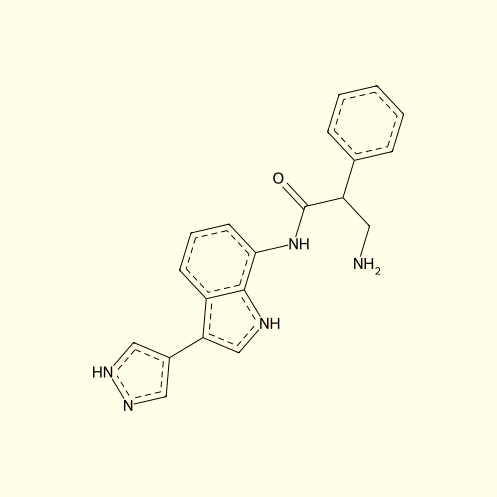 NCC(C(=O)Nc1cccc2c(-c3cn[nH]c3)c[nH]c12)c1ccccc1